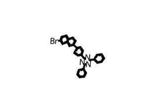 Brc1ccc2ccc(-c3ccc(-c4nc(-c5ccccc5)nc(-c5ccccc5)n4)cc3)cc2c1